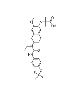 CCN(C(=O)Nc1ccc(OC(F)(F)F)cc1)C1CCc2cc(SC(C)(C)C(=O)O)c(OC)cc2C1